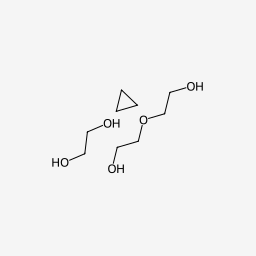 C1CC1.OCCO.OCCOCCO